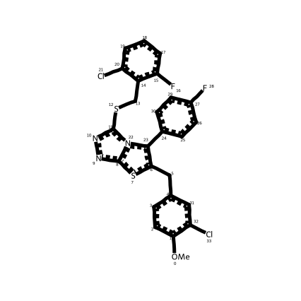 COc1ccc(Cc2sc3nnc(SCc4c(F)cccc4Cl)n3c2-c2ccc(F)cc2)cc1Cl